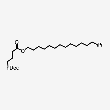 CCCCCCCCCCCCCC(=O)OCCCCCCCCCCCCCC(C)C